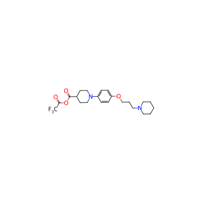 O=C(OC(=O)C(F)(F)F)C1CCN(c2ccc(OCCCN3CCCCC3)cc2)CC1